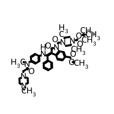 COC(=O)c1ccc2c(c1)N(C(=O)N1C[C@H](C)N(C(=O)OC(C)(C)C)C[C@@H]1C)C(=O)/C2=C(\Nc1ccc(N(C)C(=O)CN2CCN(C)CC2)cc1)c1ccccc1